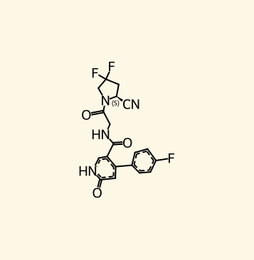 N#C[C@@H]1CC(F)(F)CN1C(=O)CNC(=O)c1c[nH]c(=O)cc1-c1ccc(F)cc1